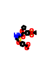 COC(=O)c1ccc(Oc2cnc(NC(=O)C(OC3CCCC3)c3ccc(S(=O)(=O)C4CC4)cc3)s2)cc1